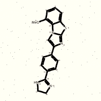 COc1cccc2sc3nc(-c4ccc(C5=NCCN5)cc4)cn3c12